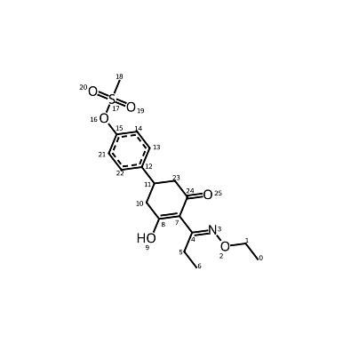 CCON=C(CC)C1=C(O)CC(c2ccc(OS(C)(=O)=O)cc2)CC1=O